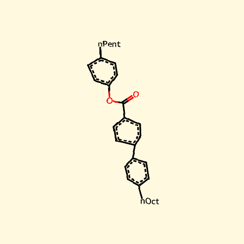 CCCCCCCCc1ccc(-c2ccc(C(=O)Oc3ccc(CCCCC)cc3)cc2)cc1